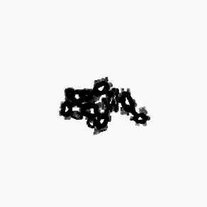 c1ccc(-c2cccc(-c3nc(-c4ccccc4)nc(-c4cccc5oc6c7c(ccc6c45)C4(c5ccccc5O7)c5ccccc5-c5ccccc54)n3)c2)cc1